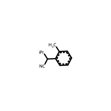 Cc1ccccc1C(C#N)C(C)C